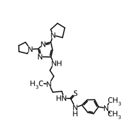 CN(CCNC(=S)Nc1ccc(N(C)C)cc1)CCNc1cc(N2CCCC2)nc(N2CCCC2)n1